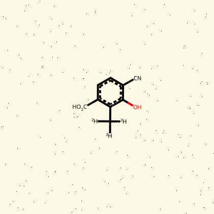 [2H]C([2H])([2H])c1c(C(=O)O)ccc(C#N)c1O